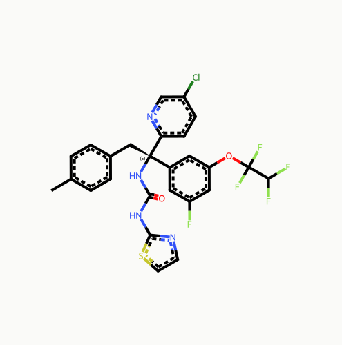 Cc1ccc(C[C@](NC(=O)Nc2nccs2)(c2cc(F)cc(OC(F)(F)C(F)F)c2)c2ccc(Cl)cn2)cc1